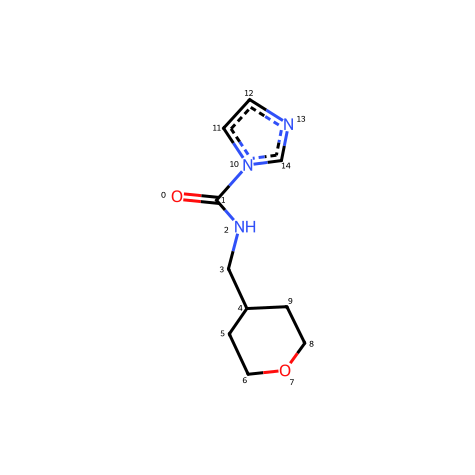 O=C(NCC1CCOCC1)n1ccnc1